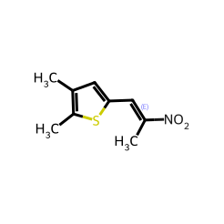 C/C(=C\c1cc(C)c(C)s1)[N+](=O)[O-]